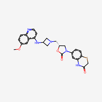 COc1ccc2nccc(NC3CN(C[C@@H]4CN(c5ccc6c(c5)NC(=O)CS6)C(=O)O4)C3)c2c1